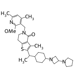 COc1nc(C)cc(C)c1CN1CCc2sc(C(C)C3CCC(N4CC(N5CCCC5)C4)CC3)c(C)c2C1=O